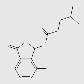 CC(C)CCC(=O)OC1NC(=O)c2cccc(F)c21